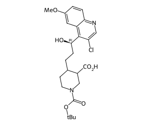 COc1ccc2ncc(Cl)c([C@H](O)CCC3CCN(C(=O)OC(C)(C)C)CC3C(=O)O)c2c1